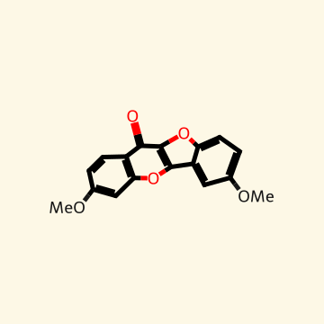 COc1ccc2c(=O)c3oc4ccc(OC)cc4c3oc2c1